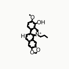 CCC[n+]1cc2c(O)c(OC)ccc2c2ccc3cc4c(cc3c21)OCO4.[H+]